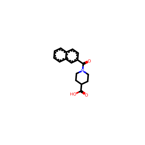 O=C(O)C1CCN(C(=O)c2ccc3ccccc3c2)CC1